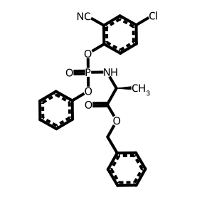 C[C@H](NP(=O)(Oc1ccccc1)Oc1ccc(Cl)cc1C#N)C(=O)OCc1ccccc1